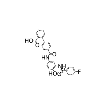 O=C(Nc1ccc(O)c(N[S+]([O-])c2ccc(F)cc2)c1)c1ccc(-c2ccccc2C(=O)O)cc1